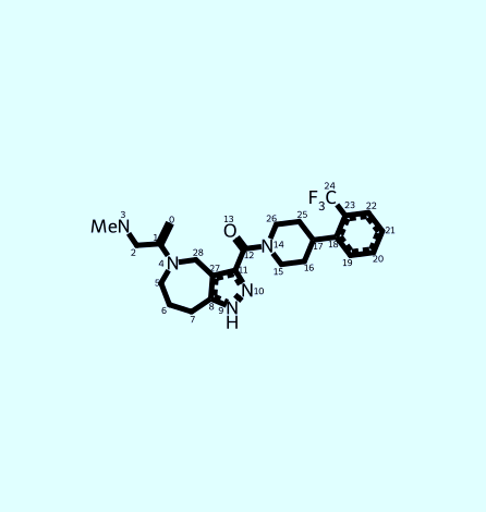 C=C(CNC)N1CCCc2[nH]nc(C(=O)N3CCC(c4ccccc4C(F)(F)F)CC3)c2C1